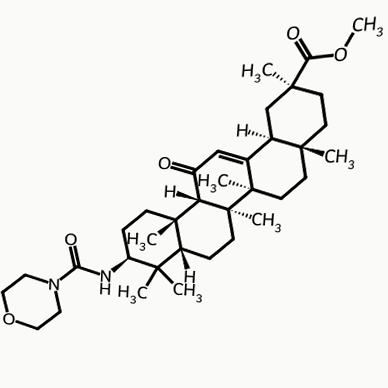 COC(=O)[C@@]1(C)CC[C@]2(C)CC[C@]3(C)C(=CC(=O)[C@H]4[C@@]5(C)CC[C@H](NC(=O)N6CCOCC6)C(C)(C)[C@H]5CC[C@@]43C)[C@H]2C1